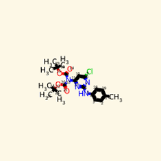 Cc1ccc(Nc2nc(Cl)cc(N(C(=O)OC(C)(C)C)C(=O)OC(C)(C)C)n2)cc1